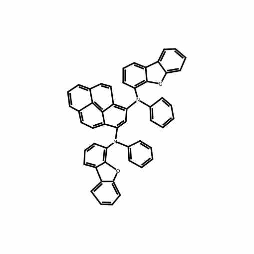 c1ccc(N(c2cc(N(c3ccccc3)c3cccc4c3oc3ccccc34)c3ccc4cccc5ccc2c3c54)c2cccc3c2oc2ccccc23)cc1